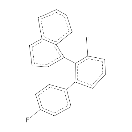 [CH2]c1cccc(-c2ccc(F)cc2)c1-c1cccc2ccccc12